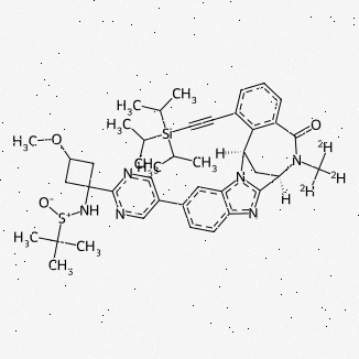 [2H]C([2H])([2H])N1C(=O)c2cccc(C#C[Si](C(C)C)(C(C)C)C(C)C)c2[C@H]2C[C@@H]1c1nc3ccc(-c4cnc(C5(N[S+]([O-])C(C)(C)C)CC(OC)C5)nc4)cc3n12